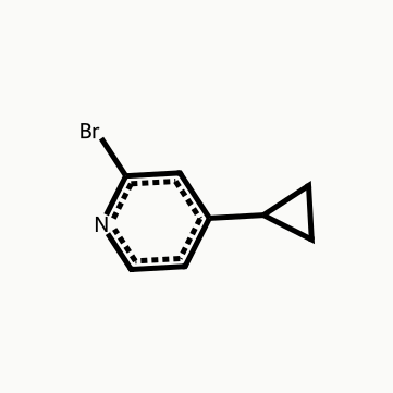 Brc1cc(C2CC2)ccn1